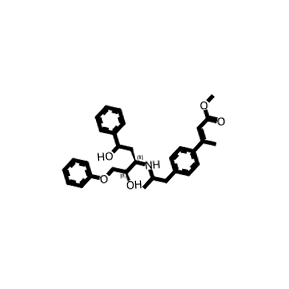 COC(=O)C=C(C)c1ccc(CC(C)N[C@H](CC(O)c2ccccc2)[C@@H](O)COc2ccccc2)cc1